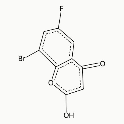 O=c1cc(O)oc2c(Br)cc(F)cc12